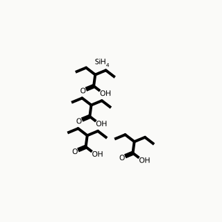 CCC(CC)C(=O)O.CCC(CC)C(=O)O.CCC(CC)C(=O)O.CCC(CC)C(=O)O.[SiH4]